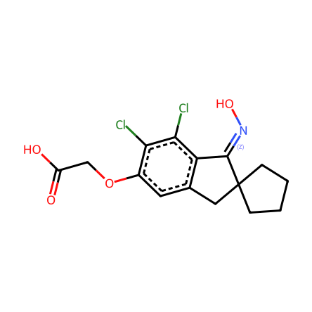 O=C(O)COc1cc2c(c(Cl)c1Cl)/C(=N\O)C1(CCCC1)C2